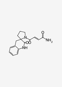 NC(=O)C=CC(=O)N1CCCC12Cc1ccccc1NC2=O